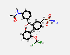 CC(=O)N(C)c1cccc(C2Oc3cccc(OC(F)F)c3-c3ccc(CS(N)(=O)=O)cc32)c1